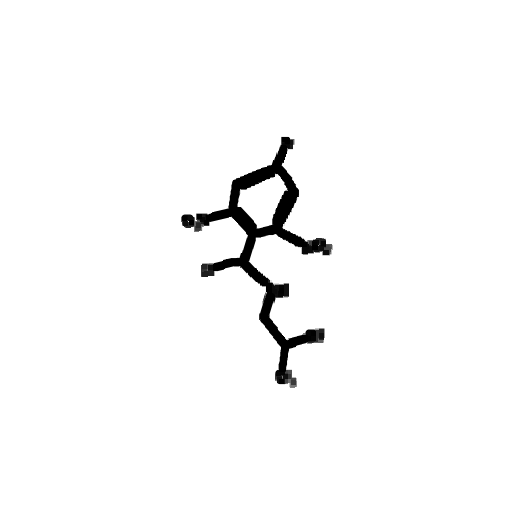 CCC(NCC(C)O)c1c([N+](=O)[O-])cc(Br)cc1[N+](=O)[O-]